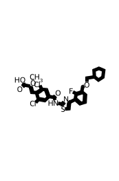 COC(=Cc1c(Cl)cc(C(=O)Nc2nc(-c3cccc(COCC4CCCCC4)c3F)cs2)cc1Cl)C(=O)O